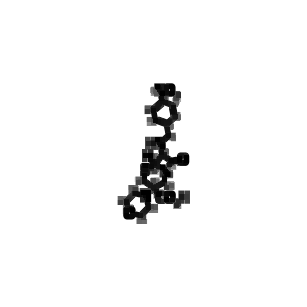 O=C1C(NCc2ccc([N+](=O)[O-])cc2)[C@H]2SCC(C(=O)O)(N3CCOCC3)CN12